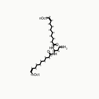 CCCCCCCC/C=C\CCCCCCCC(=O)NC(CCN)NC(=O)CCCCCCC/C=C\CCCCCCCC